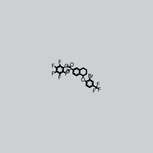 O=S(=O)(Oc1c(F)c(F)c(F)c(F)c1F)c1ccc2c(c1)CCCC2Oc1ccc(C(F)(F)F)cc1Br